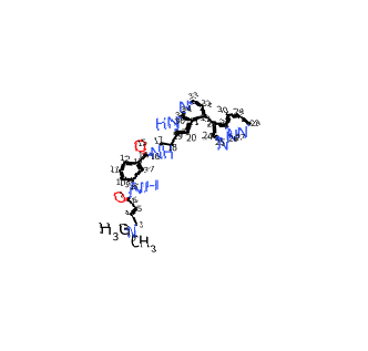 CN(C)CC=CC(=O)Nc1cccc(C(=O)NCCc2cc3c(-c4cnn5ncccc45)ccnc3[nH]2)c1